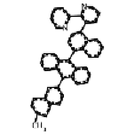 Cc1ccc2cc(-c3c4ccccc4c(-c4ccc(-c5cccnc5-c5ccccn5)c5ccccc45)c4ccccc34)ccc2c1